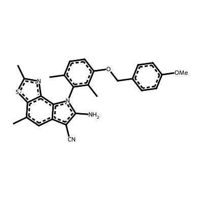 COc1ccc(COc2ccc(C)c(-n3c(N)c(C#N)c4cc(C)c5sc(C)nc5c43)c2C)cc1